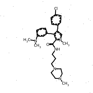 CN1CCN(CCCNC(=O)c2c(-c3cccc(N(C)C)c3)c(-c3ccc(Cl)cc3)cn2C)CC1